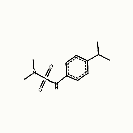 CC(C)c1ccc(NS(=O)(=O)N(C)C)cc1